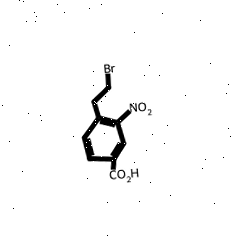 O=C(O)c1ccc(CCBr)c([N+](=O)[O-])c1